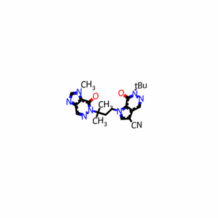 Cn1cnc2cnn(C(C)(C)CCn3cc(C#N)c4cnn(C(C)(C)C)c(=O)c43)c(=O)c21